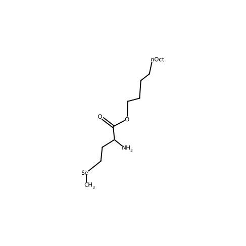 CCCCCCCCCCCCOC(=O)C(N)CC[Se]C